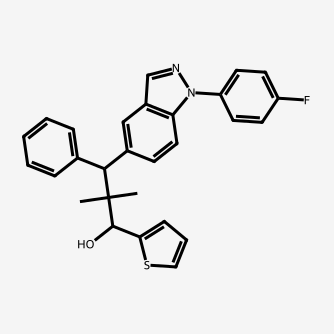 CC(C)(C(O)c1cccs1)C(c1ccccc1)c1ccc2c(cnn2-c2ccc(F)cc2)c1